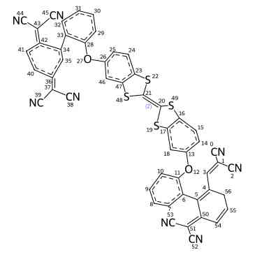 N#CC(C#N)=CC1=C(c2ccccc2Oc2ccc3c(c2)S/C(=C2/Sc4ccc(Oc5ccccc5-c5cc(=C(C#N)C#N)ccc5=C(C#N)C#N)cc4S2)S3)C(=C(C#N)C#N)C=CC1